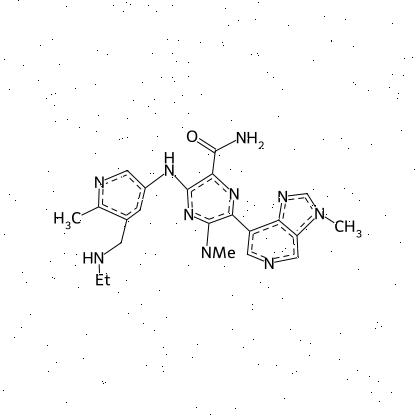 CCNCc1cc(Nc2nc(NC)c(-c3cncc4c3ncn4C)nc2C(N)=O)cnc1C